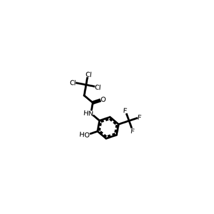 O=C(CC(Cl)(Cl)Cl)Nc1cc(C(F)(F)F)ccc1O